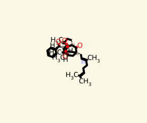 CC(C)=CCC/C(C)=C/C[C@@]12C[C@H]3C[C@@H]4C(C)(C)CC[C@]4(C1=O)C(=O)[C@@](C(=O)c1ccccc1)(C2=O)C3(C)C